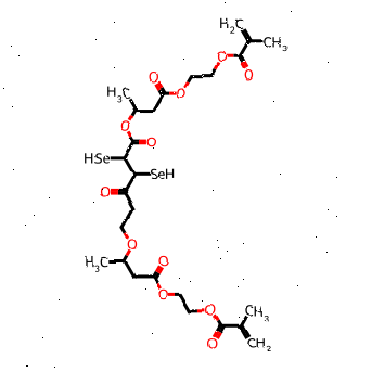 C=C(C)C(=O)OCCOC(=O)CC(C)OCCC(=O)C([SeH])C([SeH])C(=O)OC(C)CC(=O)OCCOC(=O)C(=C)C